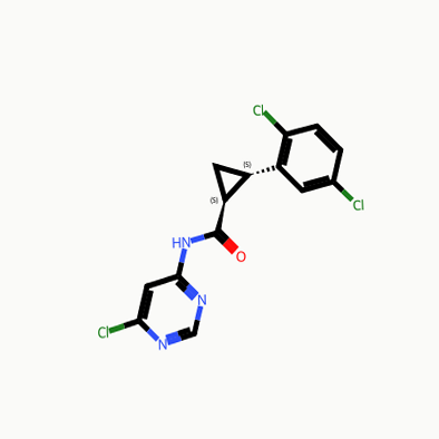 O=C(Nc1cc(Cl)ncn1)[C@H]1C[C@@H]1c1cc(Cl)ccc1Cl